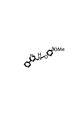 COSc1ccc(OCCNCc2cncc(-c3ccccc3)c2)cc1